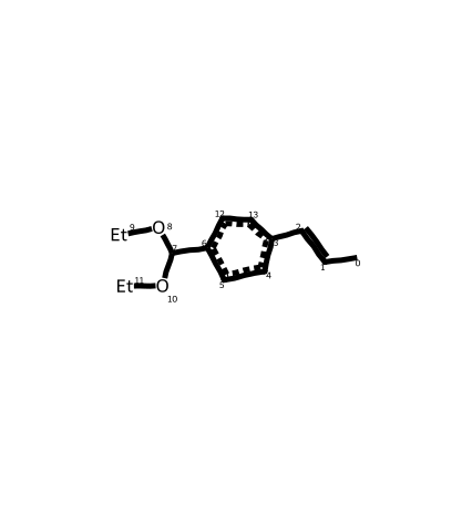 C/C=C/c1ccc(C(OCC)OCC)cc1